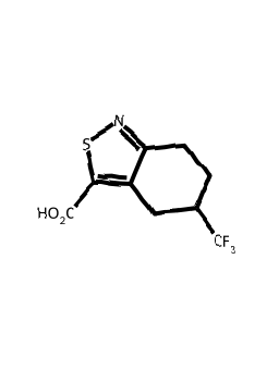 O=C(O)c1snc2c1CC(C(F)(F)F)CC2